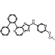 COc1ccc(Nc2nc3c(-c4ccccc4-c4ccccc4)nccn3n2)cn1